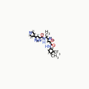 Cc1ccc(NC(=O)c2cc(C(C)NC(=O)c3cc(-c4ccncc4)ncn3)no2)cc1C(F)(F)F